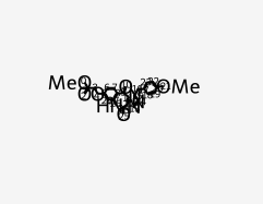 COC(=O)COc1ccc2c(=O)c3c(nnn3Cc3ccc(OC)cc3)c(=O)[nH]c2c1